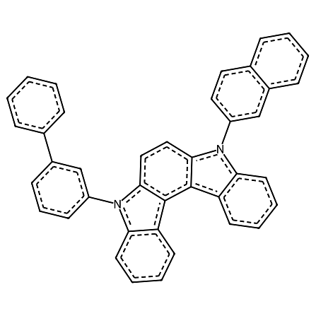 c1ccc(-c2cccc(-n3c4ccccc4c4c5c6ccccc6n(-c6ccc7ccccc7c6)c5ccc43)c2)cc1